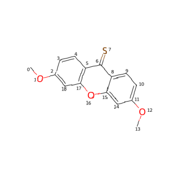 COc1ccc2c(=S)c3ccc(OC)cc3oc2c1